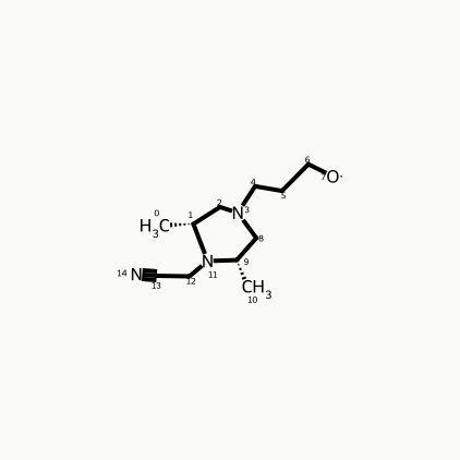 C[C@@H]1CN(CCC[O])C[C@H](C)N1CC#N